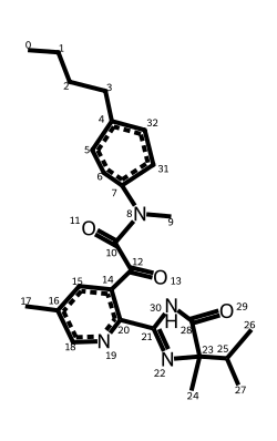 CCCCc1ccc(N(C)C(=O)C(=O)c2cc(C)cnc2C2=NC(C)(C(C)C)C(=O)N2)cc1